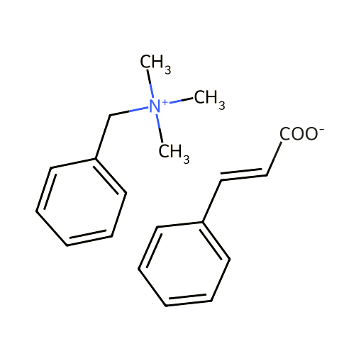 C[N+](C)(C)Cc1ccccc1.O=C([O-])C=Cc1ccccc1